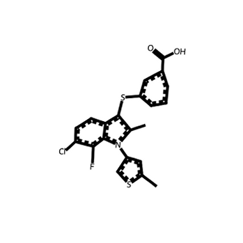 Cc1cc(-n2c(C)c(Sc3cccc(C(=O)O)c3)c3ccc(Cl)c(F)c32)cs1